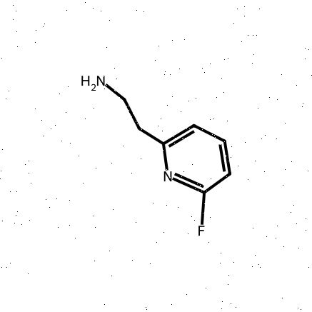 NCCc1cccc(F)n1